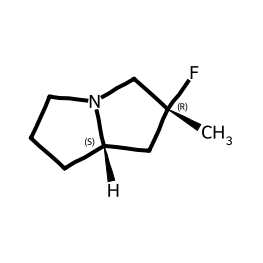 C[C@@]1(F)C[C@@H]2CCCN2C1